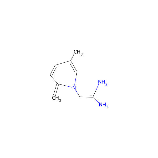 C=C1C=CC(C)=CN1C=C(N)N